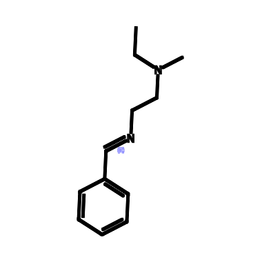 CCN(C)CC/N=C/c1ccccc1